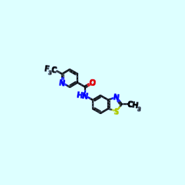 Cc1nc2cc(NC(=O)c3ccc(C(F)(F)F)nc3)ccc2s1